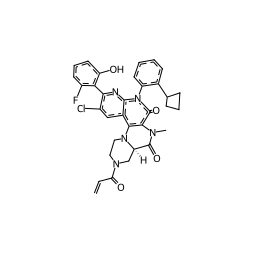 C=CC(=O)N1CCN2c3c(c(=O)n(-c4ccccc4C4CCC4)c4nc(-c5c(O)cccc5F)c(Cl)cc34)N(C)C(=O)[C@H]2C1